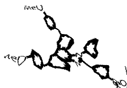 COc1ccc(-c2ccc3c(c2)c2cc(-c4ccc(OC)cc4)ccc2c2c3nc(-c3ccc(B4OC(C)(C)C(C)(C)O4)cc3)n2-c2ccccc2)cc1